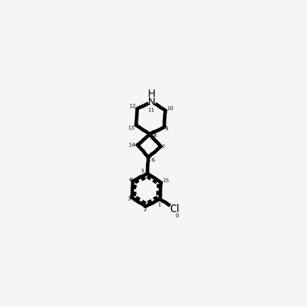 Clc1cccc(C2CC3(CCNCC3)C2)c1